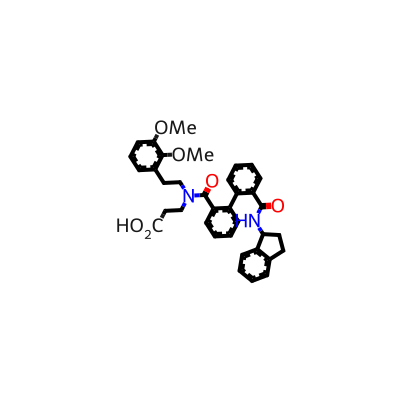 COc1cccc(CCN(CCC(=O)O)C(=O)c2ccccc2-c2ccccc2C(=O)NC2CCc3ccccc32)c1OC